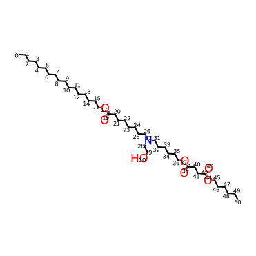 CCCCCCCCCCCCCCCCCOC(=O)CCCCCCCN(CCO)CCCCCCOC(=O)CCC(=O)OCCCCCC